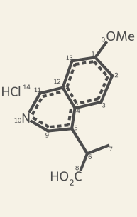 COc1ccc2c(C(C)C(=O)O)cncc2c1.Cl